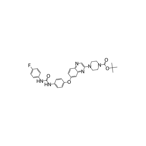 CC(C)(C)OC(=O)N1CCN(c2cnc3ccc(Oc4ccc(NC(=O)Nc5ccc(F)cc5)cc4)cc3n2)CC1